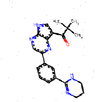 CC(C)(C)C(=O)c1c[nH]c2ncc(-c3cccc(C4=NCCCN4)c3)nc12